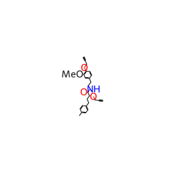 C#CCOc1ccc(CCNC(=O)C(CCc2ccc(C)cc2)OCC#C)cc1OC